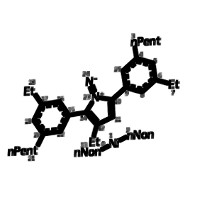 CCCCCCCC[CH2][Ni][CH2]CCCCCCCC.CCCCCc1cc(CC)cc(C2=CC(CC)=C(c3cc(CC)cc(CCCCC)c3)[N+]2=[N-])c1